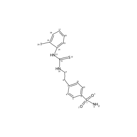 NS(=O)(=O)c1ccc(CCNC(=S)Nc2ccccc2I)cc1